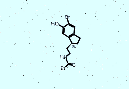 CCC(=O)NCC[C@@H]1CCc2cc(Br)c(O)cc21